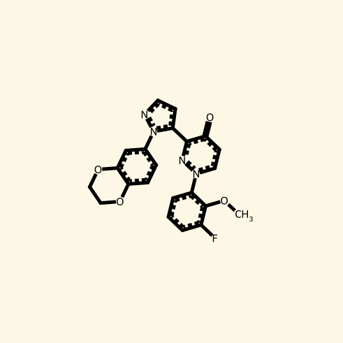 COc1c(F)cccc1-n1ccc(=O)c(-c2ccnn2-c2ccc3c(c2)OCCO3)n1